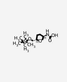 CC(C)(C)[Si](C)(C)OC[C@@H]1CC[C@@H](NC(=O)O)CO1